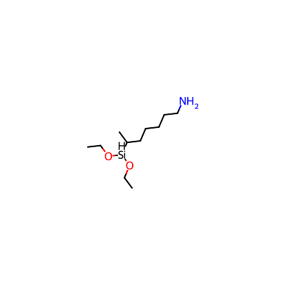 CCO[SiH](OCC)C(C)CCCCCN